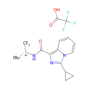 CC(C)(C)[C@@H](NC(=O)c1nc(C2CC2)n2ccccc12)C(F)(F)F.O=C(O)C(F)(F)F